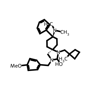 COc1ccc(CN2C[C@]3(CC[C@](c4ccccc4)(N(C)C)CC3)N(CC3(C)CCC3)C2O)cc1